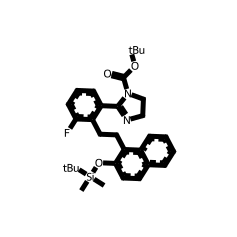 CC(C)(C)OC(=O)N1CCN=C1c1cccc(F)c1CCc1c(O[Si](C)(C)C(C)(C)C)ccc2ccccc12